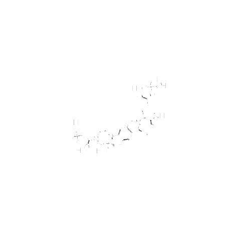 CC(C)(C)OC(=O)CC[C@@H](C(N)=O)N1Cc2cc(N3CCN(C(=O)OC(C)(C)C)CC3(C)C)ccc2C1=O